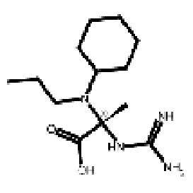 CCCN(C1CCCCC1)[C@](C)(NC(=N)N)C(=O)O